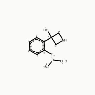 CC(C)(C)OC=O.OC1(c2ccccc2F)CNC1